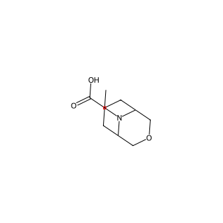 CCN1C2COCC1CC(C(=O)O)C2